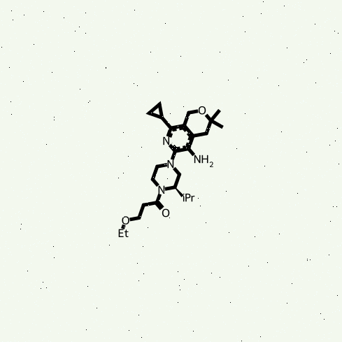 CCOCCC(=O)N1CCN(c2nc(C3CC3)c3c(c2N)CC(C)(C)OC3)C[C@H]1C(C)C